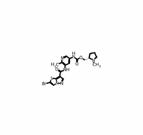 Cc1ncc(NC(=O)OC[C@@H]2CCCN2C)cc1NC(=O)c1cnn2cc(Br)sc12